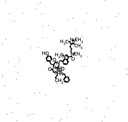 C=CCN1CC(=O)N2[C@@H](Cc3ccc(O)cc3)C(=O)N(Cc3cccc4c(C(=O)N(C)CCCc5c(C)nn(C)c5C)cn(C)c34)C[C@@H]2N1C(=O)NCc1ccccc1